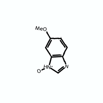 COc1[c]cc2c(c1)[NH+]([O-])C=N2